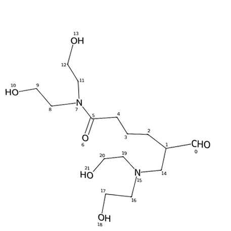 O=CC(CCCC(=O)N(CCO)CCO)CN(CCO)CCO